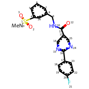 CNS(=O)(=O)c1cccc(CNC(=O)c2cnc(-c3ccc(F)cc3)nc2)c1